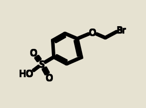 O=S(=O)(O)c1ccc(OCBr)cc1